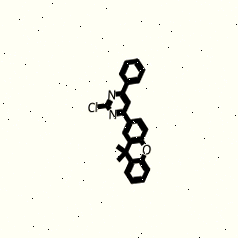 CC1(C)c2ccccc2Oc2ccc(-c3cc(-c4ccccc4)nc(Cl)n3)cc21